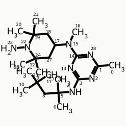 Cc1nc(NC(C)(C)CC(C)(C)C)nc(N(C)C2CC(C)(C)N(N)C(C)(C)C2)n1